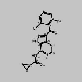 O=C(c1c(F)cccc1Cl)c1c[nH]c2c(NC(=O)C3CC3)nccc12